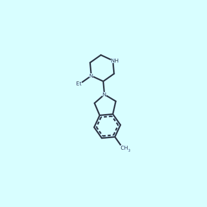 CCN1CCNCC1N1Cc2ccc(C)cc2C1